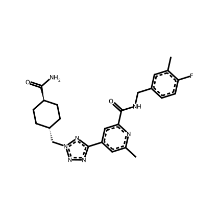 Cc1cc(-c2nnn(C[C@H]3CC[C@H](C(N)=O)CC3)n2)cc(C(=O)NCc2ccc(F)c(C)c2)n1